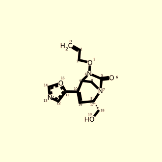 C=CCON1C(=O)N2CC1C(c1cnco1)=C[C@H]2CO